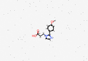 COc1ccc(-c2nccn2CCC(=O)O)cc1